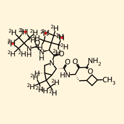 [2H]C([2H])([2H])C1(C([2H])([2H])[2H])C2[C@@H](C(=O)N[C@@H](CC3CC(C)C3)C(=O)C(N)=O)N(C(=O)[C@@H](NC(=O)NC(C([2H])([2H])[2H])(C([2H])([2H])[2H])C([2H])([2H])[2H])C(C([2H])([2H])[2H])(C([2H])([2H])[2H])C([2H])([2H])[2H])C[C@@H]21